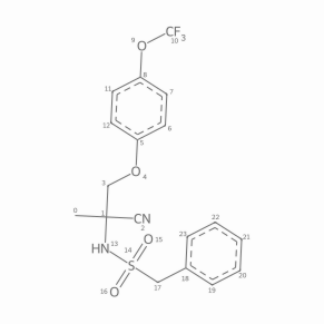 CC(C#N)(COc1ccc(OC(F)(F)F)cc1)NS(=O)(=O)Cc1ccccc1